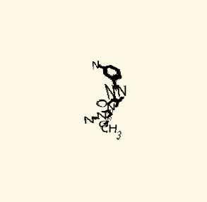 COC[C@@H]1C[C@@H](N2Cc3cnc(-c4cccc(C#N)c4)nc3C2=O)CN1C#N